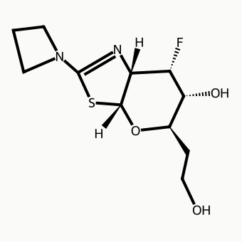 OCC[C@H]1O[C@@H]2SC(N3CCC3)=N[C@@H]2[C@H](F)[C@@H]1O